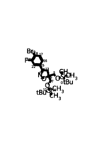 CC(C)(C)[Si](C)(C)OCC1(CO[Si](C)(C)C(C)(C)C)CC(c2ccc(Br)c(F)c2)=NO1